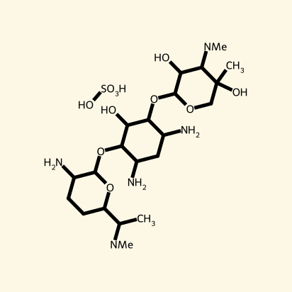 CNC(C)C1CCC(N)C(OC2C(N)CC(N)C(OC3OCC(C)(O)C(NC)C3O)C2O)O1.O=S(=O)(O)O